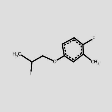 Cc1cc(OCC(C)I)ccc1F